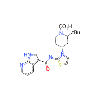 CC(C)(C)C1CC(n2ccsc2=NC(=O)c2c[nH]c3ncccc23)CCN1C(=O)O